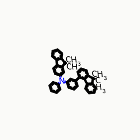 CC1(C)c2ccccc2-c2ccc(N(c3ccccc3)c3cccc(-c4cccc5c4-c4ccccc4C5(C)C)c3)cc21